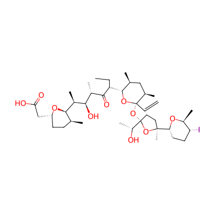 C=C[C@@]1(O[C@]2([C@@H](C)O)CC[C@@](C)([C@H]3CC[C@@H](I)[C@H](C)O3)O2)O[C@H](C(CC)C(=O)[C@@H](C)[C@@H](O)[C@H](C)[C@@H]2O[C@@H](CC(=O)O)CC[C@@H]2C)[C@@H](C)C[C@H]1C